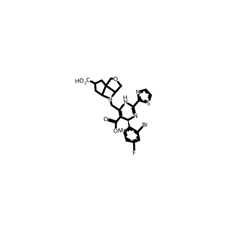 COC(=O)C1=C(CN2C3COCC34CC(C(=O)O)CC24)NC(c2nccs2)=N[C@H]1c1ccc(F)cc1Br